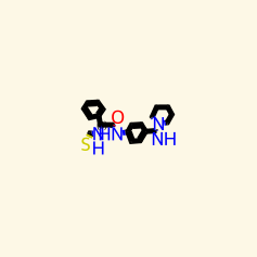 N=C(c1ccc(NC(=O)[C@@H](NC=S)c2ccccc2)cc1)N1CCCCC1